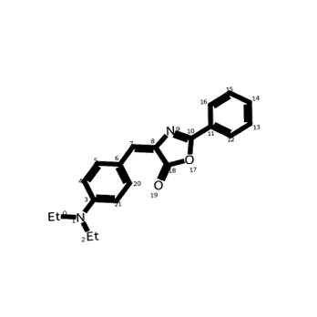 CCN(CC)c1ccc(C=C2N=C(c3ccccc3)OC2=O)cc1